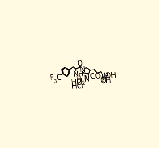 Cl.Cl.NC(Cc1ccc(C(F)(F)F)cc1)C(=O)N1C[C@H](CCCB(O)O)[C@](N)(C(=O)O)C1